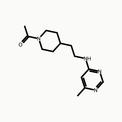 CC(=O)N1CCC(CCNc2cc(C)ncn2)CC1